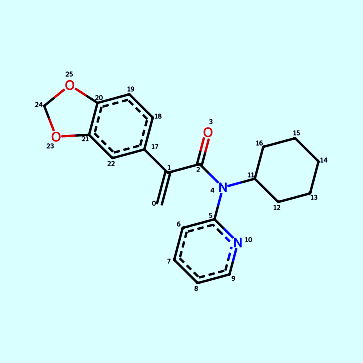 C=C(C(=O)N(c1ccccn1)C1CCCCC1)c1ccc2c(c1)OCO2